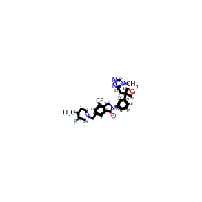 C[C@@H]1CCN(Cc2cc3c(c(C(F)(F)F)c2)CN(c2cccc(C4(Cc5nncn5C)COC4)c2)C3=O)C[C@@H]1F